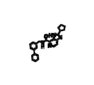 O=C(NCc1cccc(-c2ccccc2)c1)c1nccc2nc(C3CCCC3)[nH]c12